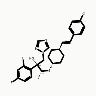 C[C@@H](S[C@H]1CC[C@H](/C=C/c2ccc(Cl)cc2)CC1)[C@](O)(Cn1cncn1)c1ccc(F)cc1F